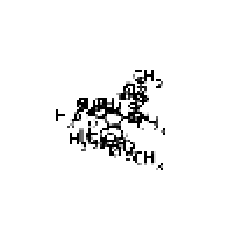 CCOP(=O)(Cc1c(C)c(CP(C)(C)=O)c(C)c(CP(=O)(OCC)OCC)c1C)OCC